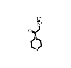 [C-]#[N+]CC(=O)N1CCSCC1